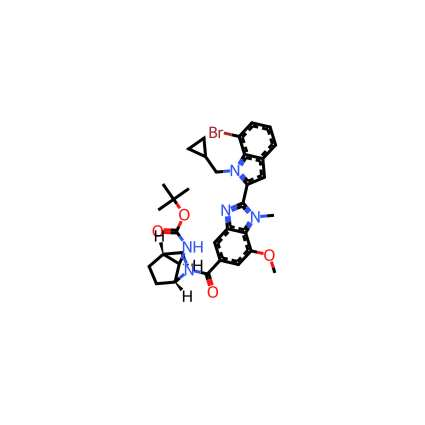 COc1cc(C(=O)N2C[C@H]3CC[C@@H]2[C@@H]3NC(=O)OC(C)(C)C)cc2nc(-c3cc4cccc(Br)c4n3CC3CC3)n(C)c12